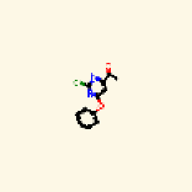 CC(=O)c1cc(Oc2ccccc2)nc(Cl)n1